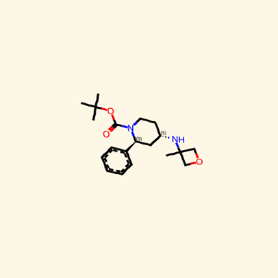 CC1(N[C@H]2CCN(C(=O)OC(C)(C)C)[C@H](c3ccccc3)C2)COC1